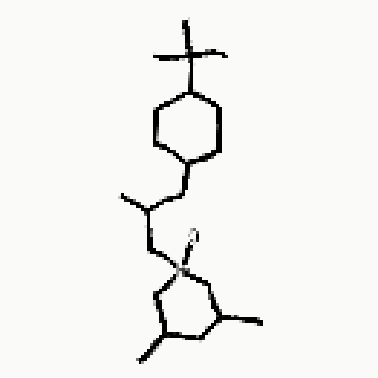 CC1CC(C)C[N+]([O-])(CC(C)CC2CCC(C(C)(C)C)CC2)C1